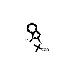 Cn1c(SC(C)(C)C(=O)[O-])nc2ccccc21.[K+]